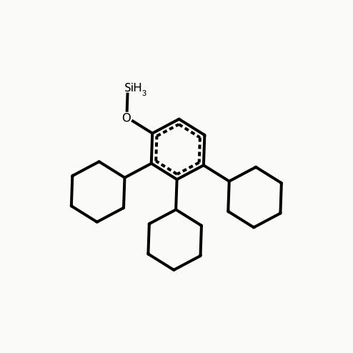 [SiH3]Oc1ccc(C2CCCCC2)c(C2CCCCC2)c1C1CCCCC1